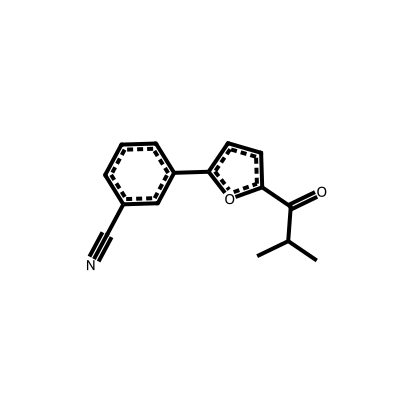 CC(C)C(=O)c1ccc(-c2cccc(C#N)c2)o1